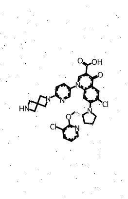 O=C(O)c1cn(-c2ccc(N3CC4(CNC4)C3)nc2)c2cc(N3CCC[C@@H]3COc3ncccc3Cl)c(Cl)cc2c1=O